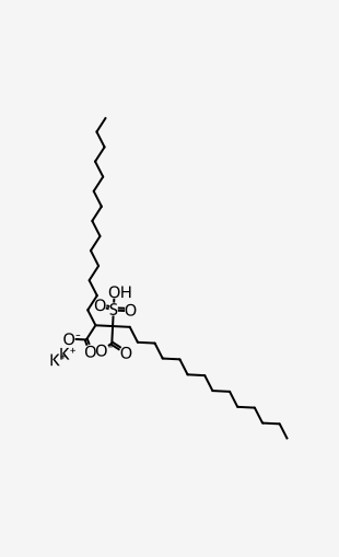 CCCCCCCCCCCCCCC(C(=O)[O-])C(CCCCCCCCCCCCCC)(C(=O)[O-])S(=O)(=O)O.[K+].[K+]